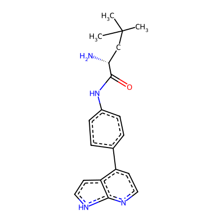 CC(C)(C)C[C@@H](N)C(=O)Nc1ccc(-c2ccnc3[nH]ccc23)cc1